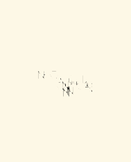 C[C@@H](c1ccc2ncccc2c1)c1nnc2ccc(-c3cccc(C#N)c3)nn12